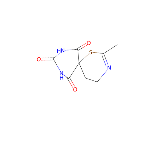 CC1=NCCC2(S1)C(=O)NC(=O)NC2=O